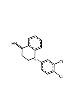 N=C1CC[C@@H](c2ccc(Cl)c(Cl)c2)c2ccccc21